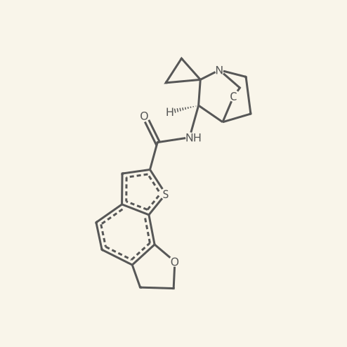 O=C(N[C@@H]1C2CCN(CC2)C12CC2)c1cc2ccc3c(c2s1)OCC3